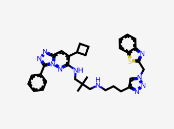 CC(C)(CNCCCc1cn(Cc2nc3ccccc3s2)nn1)CNc1nn2c(-c3ccccc3)nnc2cc1C1CCC1